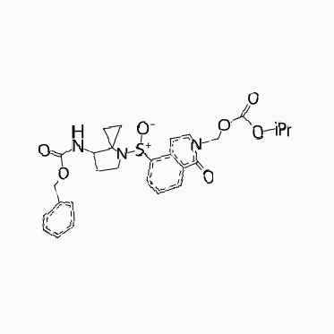 CC(C)OC(=O)OCn1ccc2c([S+]([O-])N3CCC(NC(=O)OCc4ccccc4)C34CC4)cccc2c1=O